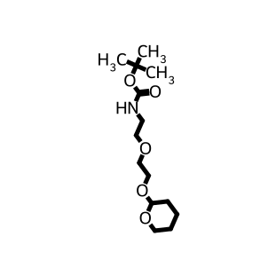 CC(C)(C)OC(=O)NCCOCCOC1CCCCO1